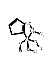 CC[O][Zr]([O]CC)([O]CC)([C]1=CC=CC1)[GeH]([C](F)(F)F)[C](F)(F)F